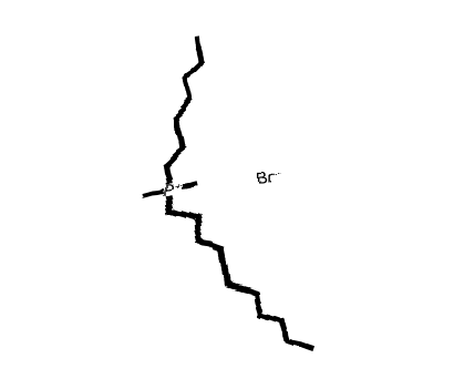 CCCCCCCCCC[P+](C)(C)CCCCCCC.[Br-]